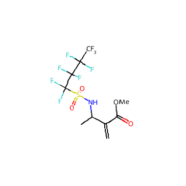 C=C(C(=O)OC)C(C)NS(=O)(=O)C(F)(F)C(F)(F)C(F)(F)C(F)(F)F